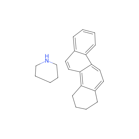 C1CCNCC1.c1ccc2c(c1)ccc1c3c(ccc12)CCCC3